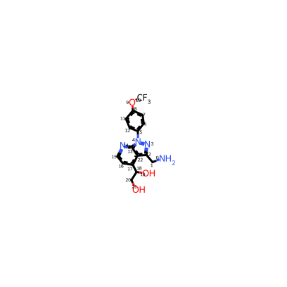 NCc1nn(-c2ccc(OC(F)(F)F)cc2)c2nccc(C(O)CO)c12